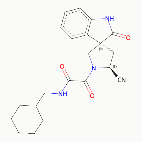 N#C[C@@H]1C[C@@]2(CN1C(=O)C(=O)NCC1CCCCC1)C(=O)Nc1ccccc12